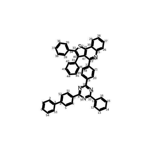 c1ccc(-c2ccc(-c3nc(-c4ccccc4)nc(-c4ccc(-c5nc6ccccc6c6sc(-c7ccccc7)c(-c7ccccc7)c56)cc4)n3)cc2)cc1